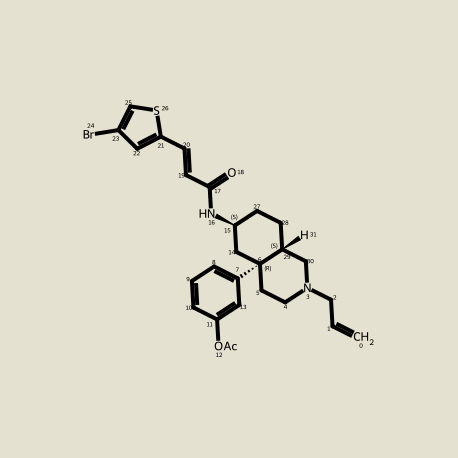 C=CCN1CC[C@@]2(c3cccc(OC(C)=O)c3)C[C@@H](NC(=O)C=Cc3cc(Br)cs3)CC[C@@H]2C1